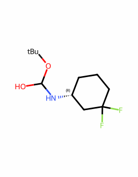 CC(C)(C)OC(O)N[C@@H]1CCCC(F)(F)C1